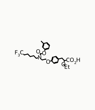 CCOC(Cc1ccc(OCCN(CCCCCC(F)(F)F)C(=O)Oc2cccc(C)c2)cc1)C(=O)O